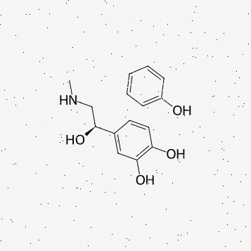 CNC[C@H](O)c1ccc(O)c(O)c1.Oc1ccccc1